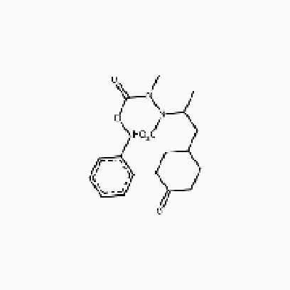 CC(CC1CCC(=O)CC1)N(C(=O)O)N(C)C(=O)OCc1ccccc1